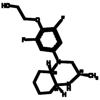 C[C@@H]1CN(c2cc(F)c(OCCO)c(F)c2)[C@H]2CCCC[C@@H]2N1